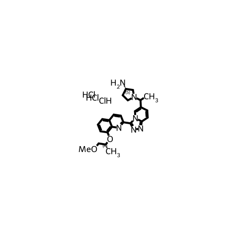 COC[C@@H](C)Oc1cccc2ccc(-c3nnc4ccc(C(C)N5CC[C@H](N)C5)cn34)nc12.Cl.Cl.Cl